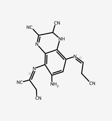 N#CC/C=N\c1cc(N)c(/N=C(/C#N)CC#N)c2c1NC(C#N)C(C#N)=N2